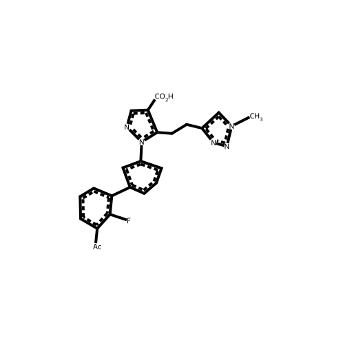 CC(=O)c1cccc(-c2cccc(-n3ncc(C(=O)O)c3CCc3cn(C)nn3)c2)c1F